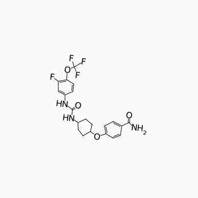 NC(=O)c1ccc(OC2CCC(NC(=O)Nc3ccc(OC(F)(F)F)c(F)c3)CC2)cc1